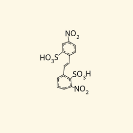 O=[N+]([O-])c1ccc(C=Cc2cccc([N+](=O)[O-])c2S(=O)(=O)O)c(S(=O)(=O)O)c1